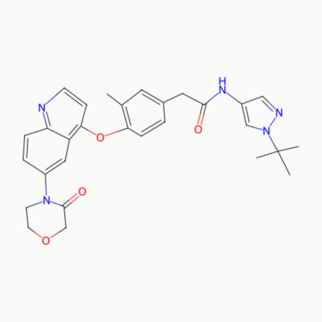 Cc1cc(CC(=O)Nc2cnn(C(C)(C)C)c2)ccc1Oc1ccnc2ccc(N3CCOCC3=O)cc12